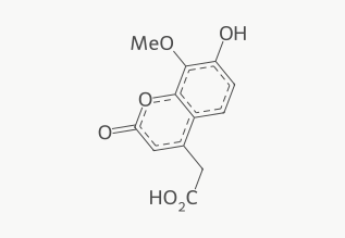 COc1c(O)ccc2c(CC(=O)O)cc(=O)oc12